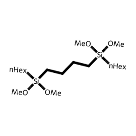 CCCCCC[Si](CCCC[Si](CCCCCC)(OC)OC)(OC)OC